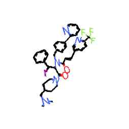 CN(C)CC1CCN(C(=O)C(C(I)c2ccccc2)N(Cc2ccc(-c3ccccn3)cc2)C(=O)C=Cc2ccc(C(F)(F)F)nc2)CC1